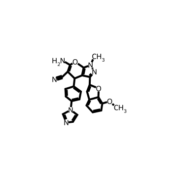 COc1cccc2cc(-c3nn(C)c4c3C(c3ccc(-n5ccnc5)cc3)C(C#N)=C(N)O4)oc12